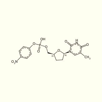 Cc1cn([C@H]2CC[C@@H](COP(=O)(O)Oc3ccc([N+](=O)[O-])cc3)O2)c(=O)[nH]c1=O